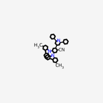 Cc1ccc2c(c1)c1ccccc1n2-c1cc(C#N)c(-c2cc(-c3ccccc3)nc(-c3ccccc3)c2)cc1-n1c2ccccc2c2cc(C)ccc21